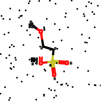 [CH2]COCCS(=O)(=O)O.[KH]